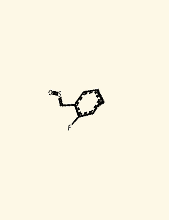 O=S=[C]c1ccccc1F